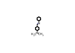 CN(C)c1ccc(/C=N/c2ccccc2)cc1